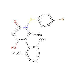 CCCCc1c(-c2c(OC)cccc2OC)c(O)cc(=O)n1Sc1ccc(Br)cc1